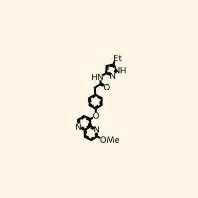 CCc1cc(NC(=O)Cc2ccc(Oc3ccnc4ccc(OC)nc34)cc2)n[nH]1